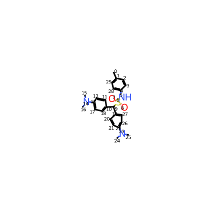 Cc1ccc(NS(=O)(=O)C(c2ccc(N(C)C)cc2)c2ccc(N(C)C)cc2)cc1